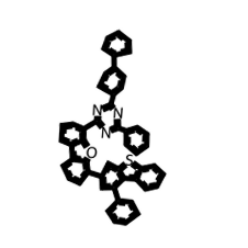 c1ccc(-c2ccc(-c3nc(-c4ccccc4)nc(-c4cccc5c4oc4c(-c6cc(-c7ccccc7)c7c(c6)sc6ccccc67)cccc45)n3)cc2)cc1